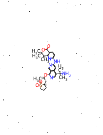 C[C@@H]1c2nc(Nc3cc4c(C(C)(C)N)cnc(O[C@@H](C)C[C@H]5CCCS5(=O)=O)c4cn3)ccc2C(=O)OC1(C)C